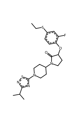 CCSc1ccc(OC2CCN(C3CCN(c4nc(C(C)C)ns4)CC3)C2=O)c(F)c1